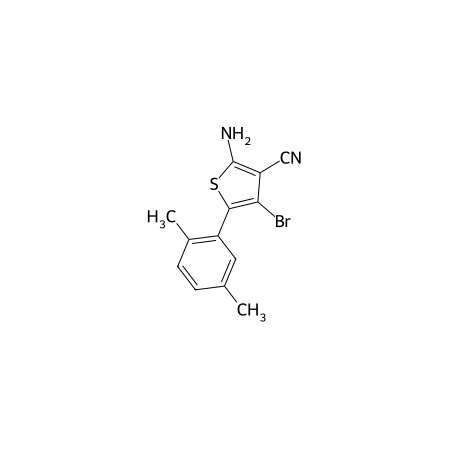 Cc1ccc(C)c(-c2sc(N)c(C#N)c2Br)c1